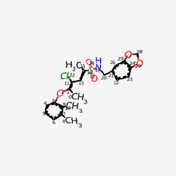 C/C(Oc1cccc(C)c1C)=C(Cl)\C=C(/C)S(=O)(=O)NCc1ccc2c(c1)OCO2